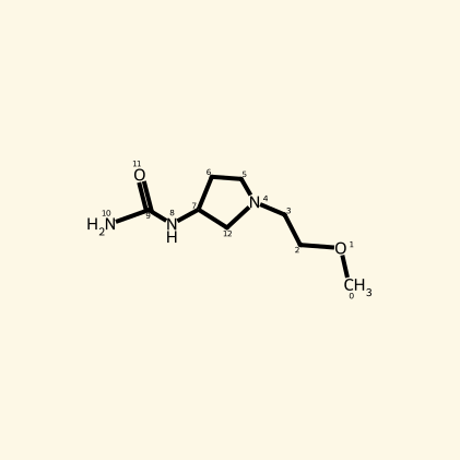 COCCN1CCC(NC(N)=O)C1